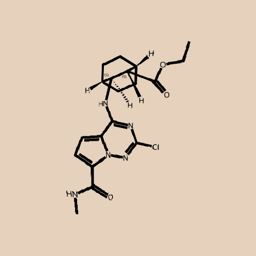 CCOC(=O)[C@H]1[C@H]2CC[C@H](CC2)[C@@H]1Nc1nc(Cl)nn2c(C(=O)NC)ccc12